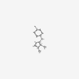 CCn1c(Oc2ccc(C)cc2)cnc1C(C)=O